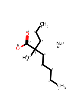 CCCCCC(C)(CCC)C(=O)[O-].[Na+]